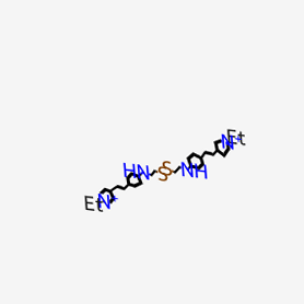 CC[n+]1ccc(/C=C/c2ccc(NCCSSCCNc3ccc(/C=C/c4cc[n+](CC)cc4)cc3)cc2)cc1